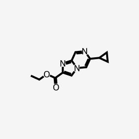 CCOC(=O)c1cn2cc(C3CC3)ncc2n1